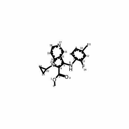 COC(=O)c1c(Nc2ccc(I)cc2F)c2cnccc2n1C1CC1